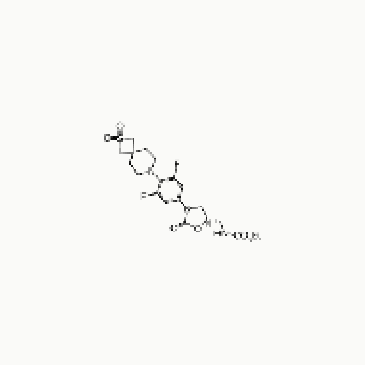 CCOC(=O)NC[C@H]1CN(c2cc(F)c(N3CCC4(CC3)CS(=O)(=O)C4)c(F)c2)C(=O)O1